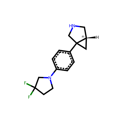 FC1(F)CCN(c2ccc(C34CNC[C@@H]3C4)cc2)C1